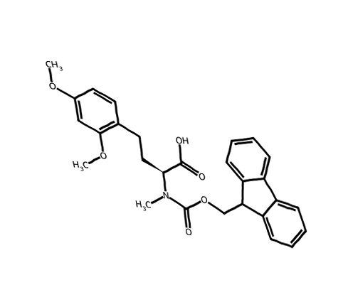 COc1ccc(CC[C@@H](C(=O)O)N(C)C(=O)OCC2c3ccccc3-c3ccccc32)c(OC)c1